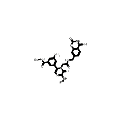 CCC(C)NC(=O)c1cc(N)cc(-c2cnc(NC(C)C)c(=O)n2CC(=O)NCc2ccc3c(=N)[nH]c(=O)oc3c2)c1